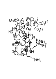 CSCC[C@H](NC(=O)[C@H](CO)NC(=O)[C@H](CC(N)=O)NC(=O)[C@H](CO)NC(=O)[C@H](CO)NC(=O)[C@H](CC(=O)O)NC(=O)[C@H](CCCNC(=N)N)NC(=O)[C@H](CCCCN)NC(=O)[C@@H]1CCC(=O)N1)C(=O)N[C@@H](CC(=O)O)C(=O)N[C@@H](CC(C)C)C(=O)N1CCC[C@H]1C(=O)N[C@@H](CCC(=O)O)C(=O)O